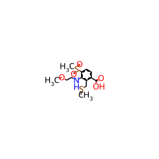 COCCNc1c(S(C)(=O)=O)ccc(C(=O)O)c1CSC